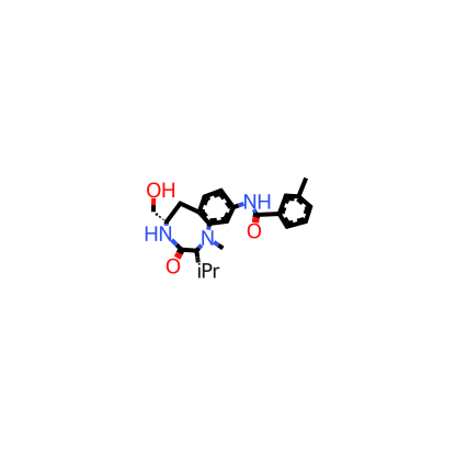 Cc1cccc(C(=O)Nc2ccc3c(c2)N(C)C(C(C)C)C(=O)N[C@H](CO)C3)c1